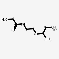 CCC(=O)NCCOC(C)CC